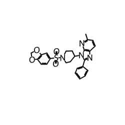 Cc1ccc2nc(-c3ccccc3)n(C3CCN(S(=O)(=O)c4ccc5c(c4)OCO5)CC3)c2n1